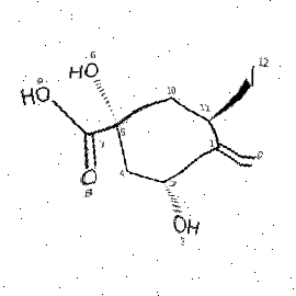 C=C1[C@H](O)C[C@@](O)(C(=O)O)C[C@H]1I